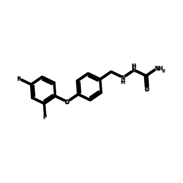 NC(=O)NNCc1ccc(Oc2ccc(F)cc2F)cc1